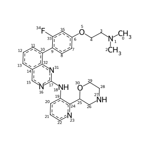 CN(C)CCOc1ccc(-c2cccc3cnc(Nc4cccnc4C4CNCCO4)nc23)c(F)c1